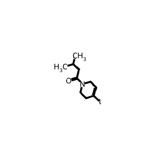 CC(C)CC(=O)N1CC=C(I)CC1